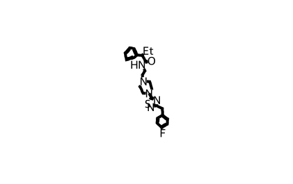 CCC(C(=O)NCCN1CCN(c2nc(Cc3ccc(F)cc3)ns2)CC1)c1ccccc1